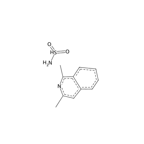 Cc1cc2ccccc2c(C)n1.N[SH](=O)=O